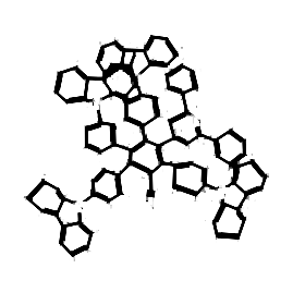 Cc1ccc2c(c1)c1ccccc1n2-c1cccc(-c2c(-c3ccc(-n4c5ccccc5c5ccccc54)cc3)c(C#N)c(-c3ccc(-n4c5ccccc5c5ccccc54)cc3)c(-c3cc(-c4ccccc4)nc(-c4ccccc4)c3)c2-c2ccc(-n3c4ccccc4c4ccccc43)cc2)c1